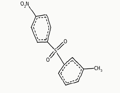 Cc1cccc(S(=O)(=O)c2ccc([N+](=O)[O-])cc2)c1